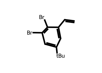 C=Cc1cc(C(C)(C)C)cc(Br)c1Br